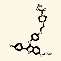 COOc1ccc2c(Oc3ccc(OCCN4CCN(C(=O)OC(C)(C)C)CC4)cc3)c(-c3ccc(Br)cc3)sc2c1